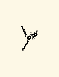 CCCCCCCCOc1cc(OCCCCCCCC)cc(N2C(=O)c3ccc(F)cc3C2=O)c1